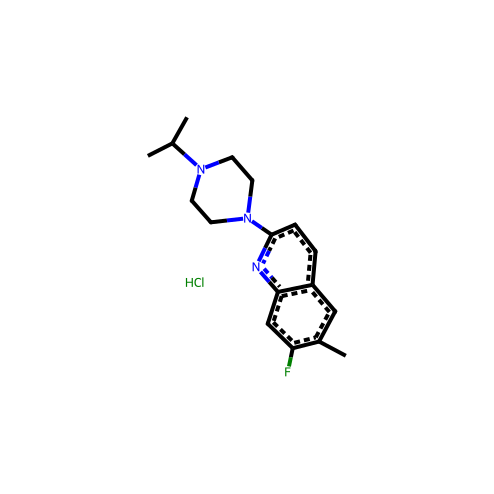 Cc1cc2ccc(N3CCN(C(C)C)CC3)nc2cc1F.Cl